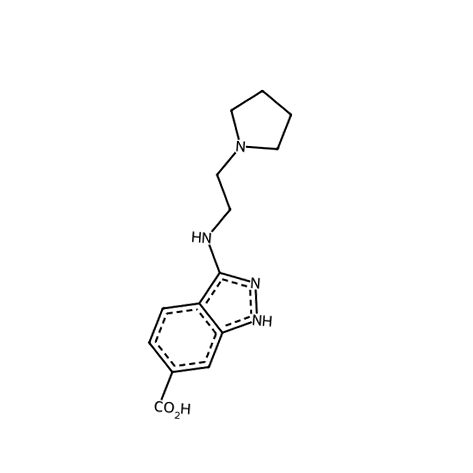 O=C(O)c1ccc2c(NCCN3CCCC3)n[nH]c2c1